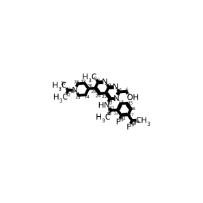 Cc1nc2nc(CO)nc(N[C@H](C)c3cccc(C(C)F)c3F)c2cc1C1CCN(C(C)C)CC1